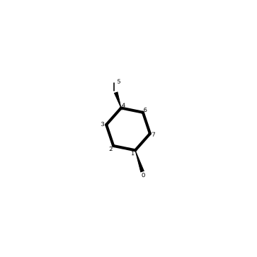 C[C@H]1CC[C@@H](I)CC1